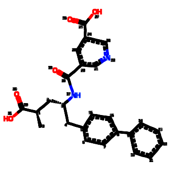 C[C@H](C[C@@H](Cc1ccc(-c2ccccc2)cc1)NC(=O)c1cncc(C(=O)O)c1)C(=O)O